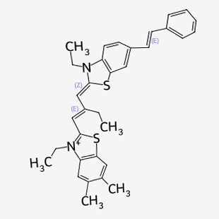 CCC(/C=C1\Sc2cc(/C=C/c3ccccc3)ccc2N1CC)=C\c1sc2cc(C)c(C)cc2[n+]1CC